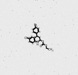 CCOC(=O)OC1CC(c2ccc(Br)cc2)c2cc(Cl)ccc2N1